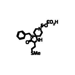 CSCCC1NC2(CCN(SOC(=O)O)CC2)N(Cc2ccccc2)C1=O